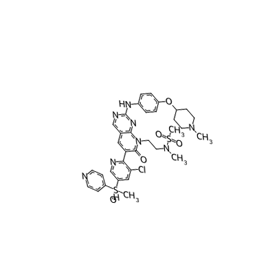 CN1CCC(Oc2ccc(Nc3ncc4cc(-c5ncc([SH](C)(=O)c6ccncc6)cc5Cl)c(=O)n(CCN(C)S(C)(=O)=O)c4n3)cc2)CC1